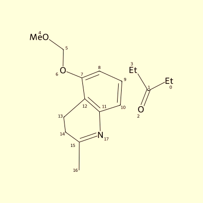 CCC(=O)CC.COCOc1cccc2c1CCC(C)=N2